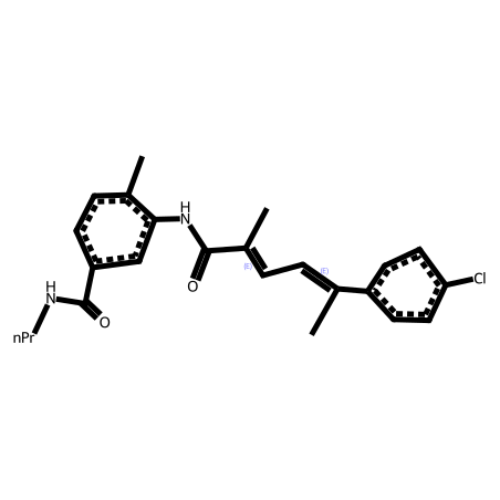 CCCNC(=O)c1ccc(C)c(NC(=O)/C(C)=C/C=C(\C)c2ccc(Cl)cc2)c1